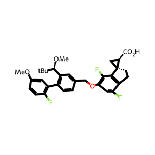 COc1ccc(F)c(-c2ccc(COc3cc(F)c4c(c3F)[C@@]3(CC4)C[C@H]3C(=O)O)cc2[C@H](OC)C(C)(C)C)c1